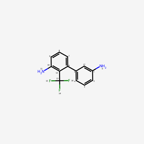 Nc1cccc(-c2cccc(N)c2C(F)(F)F)c1